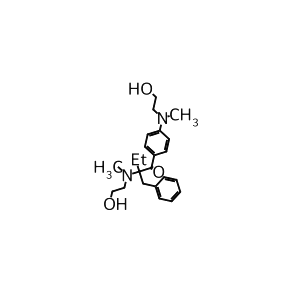 CCC(Cc1ccccc1)(C(=O)c1ccc(N(C)CCO)cc1)N(C)CCO